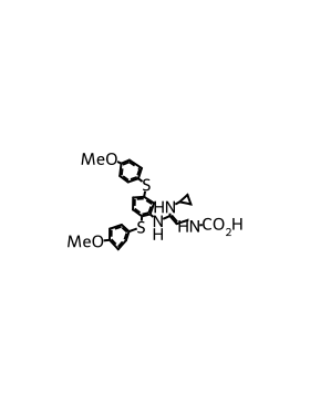 COc1ccc(Sc2ccc(Sc3ccc(OC)cc3)c(N/C(=C/CNC(=O)O)NC3CC3)c2)cc1